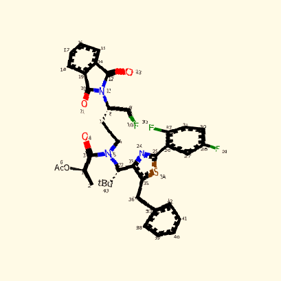 CC(=O)O[C@H](C)C(=O)N(CC[C@@H](CF)N1C(=O)c2ccccc2C1=O)[C@H](c1nc(-c2cc(F)ccc2F)sc1Cc1ccccc1)C(C)(C)C